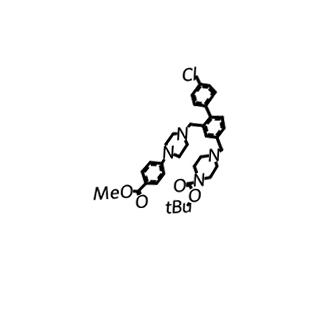 COC(=O)c1ccc(N2CCN(Cc3cc(CN4CCN(C(=O)OC(C)(C)C)CC4)ccc3-c3ccc(Cl)cc3)CC2)cc1